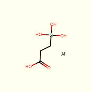 O=C(O)CC[Si](O)(O)O.[Al]